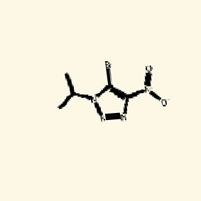 CC(C)n1nnc([N+](=O)[O-])c1Br